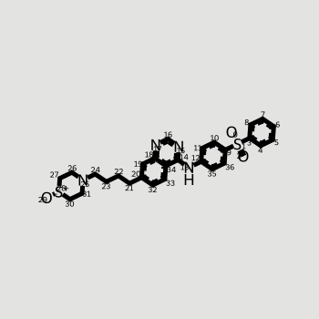 O=S(=O)(c1ccccc1)c1ccc(Nc2ncnc3cc(CCCCN4CC[S+]([O-])CC4)ccc23)cc1